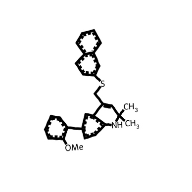 COc1ccccc1-c1ccc2c(c1)C(CSc1ccc3ccccc3c1)=CC(C)(C)N2